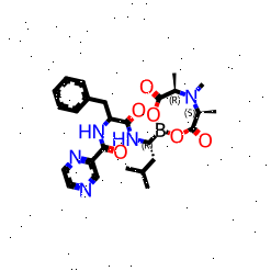 CC(C)C[C@H](NC(=O)C(Cc1ccccc1)NC(=O)c1cnccn1)B1OC(=O)[C@@H](C)N(C)[C@@H](C)C(=O)O1